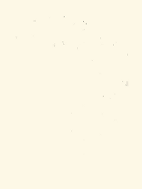 CC(C)c1ccc(C=C2C(=O)Nc3ccc(S(=O)(=O)Nc4ccc(C(F)(F)F)cc4)cc32)cc1